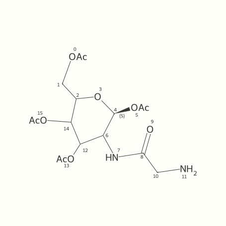 CC(=O)OCC1O[C@@H](OC(C)=O)C(NC(=O)CN)C(OC(C)=O)C1OC(C)=O